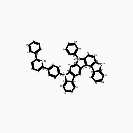 c1ccc(-c2cccc(-c3ccc(-n4c5ccccc5c5cc6c7c8c(ccc7n(-c7ccccc7)c6cc54)sc4ccccc48)cc3)n2)cc1